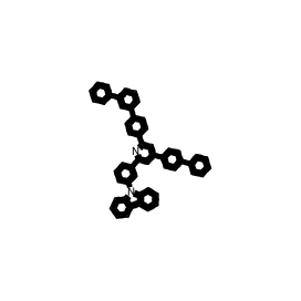 c1ccc(-c2ccc(-c3cc(-c4ccc(-c5cccc(-c6ccccc6)c5)cc4)nc(-c4cccc(-n5c6ccccc6c6ccccc65)c4)c3)cc2)cc1